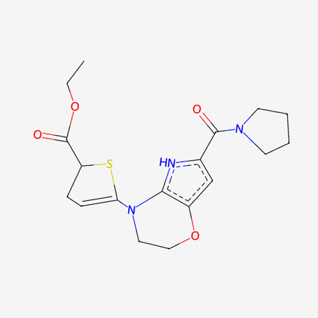 CCOC(=O)C1CC=C(N2CCOc3cc(C(=O)N4CCCC4)[nH]c32)S1